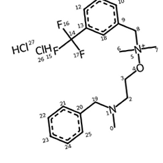 CN(CCO[N+](C)(C)Cc1cccc(C(F)(F)F)c1)Cc1ccccc1.Cl.Cl